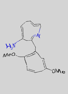 COc1ccc(OC)c(-c2ncccc2N)c1